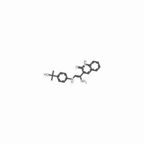 CC(C)(O)c1ccc(N/C=C(\N)c2cc3ccccc3[nH]c2=O)cc1